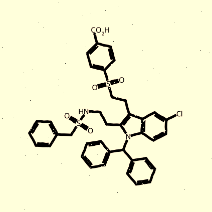 O=C(O)c1ccc(S(=O)(=O)CCc2c(CCNS(=O)(=O)Cc3ccccc3)n(C(c3ccccc3)c3ccccc3)c3ccc(Cl)cc23)cc1